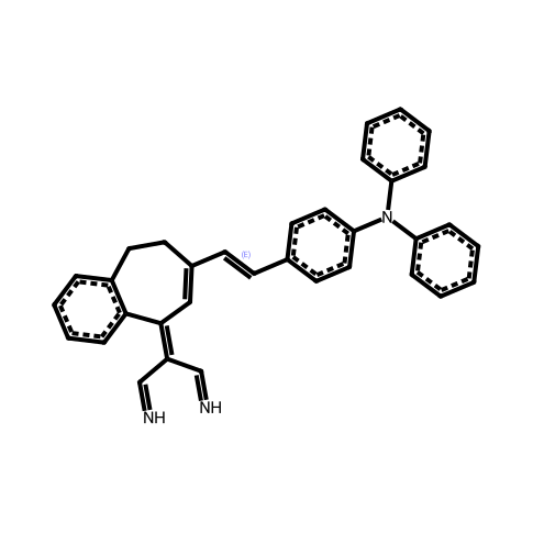 N=CC(C=N)=C1C=C(/C=C/c2ccc(N(c3ccccc3)c3ccccc3)cc2)CCc2ccccc21